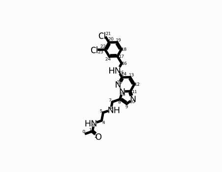 CC(=O)NCCNCc1cnc2ccc(NCc3ccc(Cl)c(Cl)c3)nn12